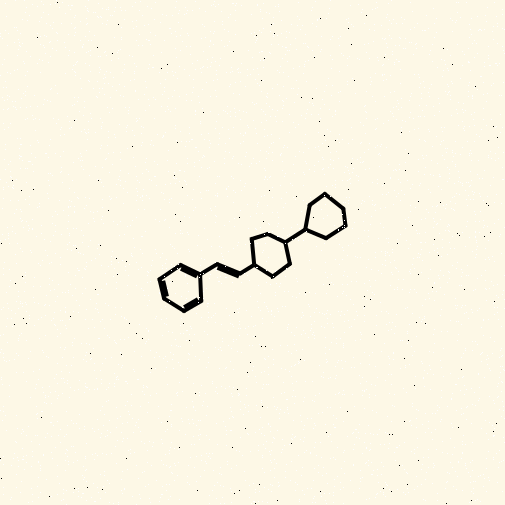 C(=CC1CCC(C2CCCCC2)CC1)c1ccccc1